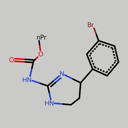 CCCOC(=O)NC1=NC(c2cccc(Br)c2)CCN1